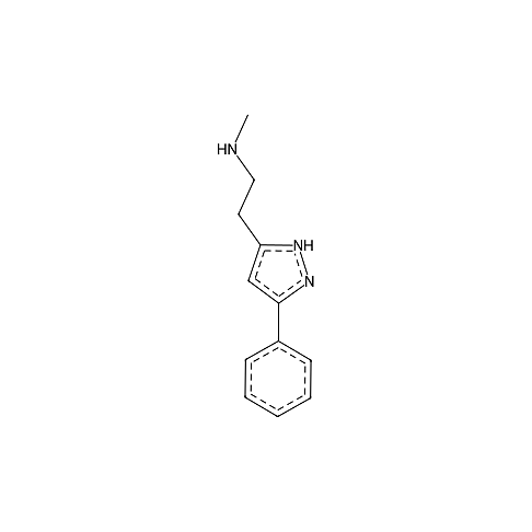 CNCCc1cc(-c2ccccc2)n[nH]1